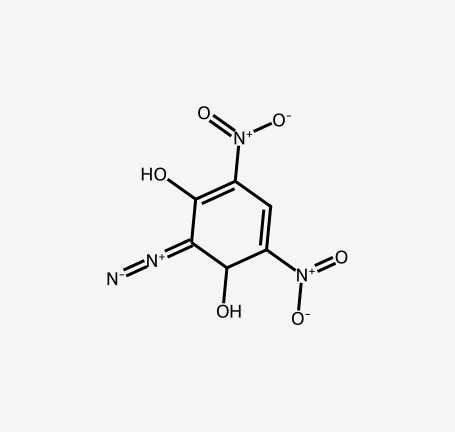 [N-]=[N+]=C1C(O)=C([N+](=O)[O-])C=C([N+](=O)[O-])C1O